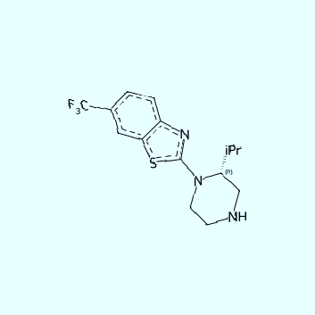 CC(C)[C@@H]1CNCCN1c1nc2ccc(C(F)(F)F)cc2s1